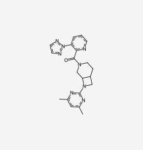 Cc1cc(C)nc(N2CC3CCN(C(=O)c4ncccc4-n4nccn4)CC32)n1